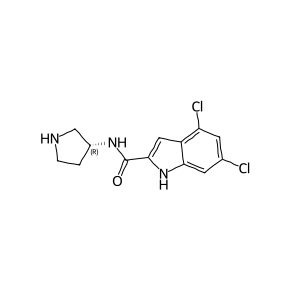 O=C(N[C@@H]1CCNC1)c1cc2c(Cl)cc(Cl)cc2[nH]1